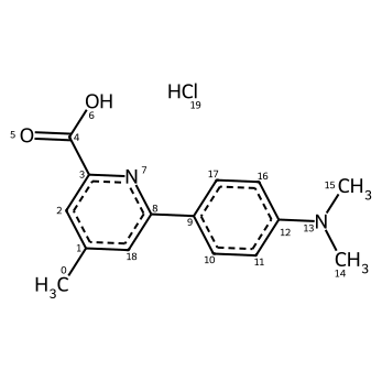 Cc1cc(C(=O)O)nc(-c2ccc(N(C)C)cc2)c1.Cl